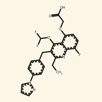 CCc1nc2c(F)ccc(OCC(=O)O)c2c(OC(F)F)c1Cc1ccc(-n2cccn2)cc1